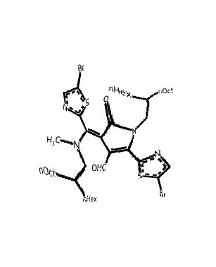 CCCCCCCCC(CCCCCC)CN1C(=O)/C(=C(\c2ncc(Br)s2)N(C)CC(CCCCCC)CCCCCCCC)C(C=O)=C1c1ncc(Br)s1